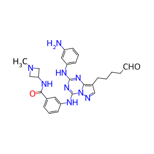 CN1CC(NC(=O)c2cccc(Nc3nc(Nc4cccc(N)c4)nc4c(CCCCC=O)cnn34)c2)C1